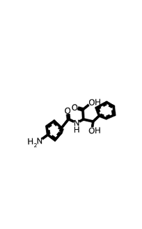 Nc1ccc(C(=O)NC(C(=O)O)C(O)c2ccccc2)cc1